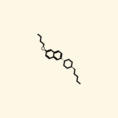 CCCCC[C@H]1CC[C@H](c2ccc3cc(OCCCC)ccc3c2)CC1